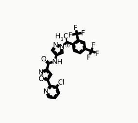 C[C@@H](c1ccc(C(F)(F)F)cc1C(F)(F)F)n1cc(NC(=O)c2cc(-c3ncccc3Cl)on2)cn1